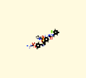 CC(C)(C)NS(=O)(=O)c1cc(NC(=O)NCc2ccccc2F)ccc1-c1cnc(C2CCC(OC(N)=O)CC2)s1